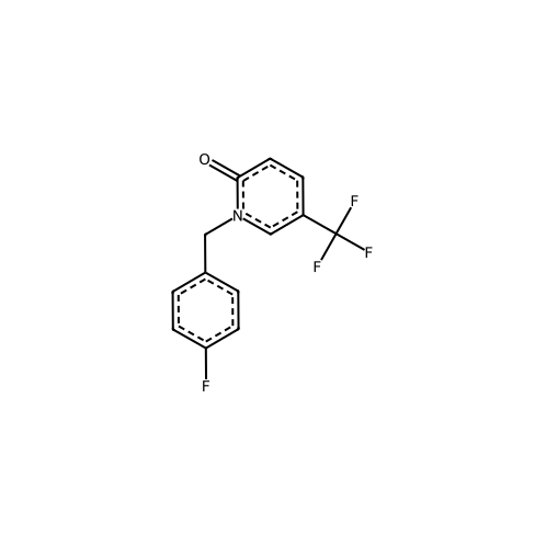 O=c1ccc(C(F)(F)F)cn1Cc1ccc(F)cc1